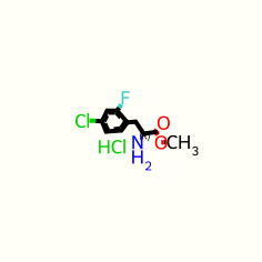 COC(=O)[C@H](N)Cc1ccc(Cl)cc1F.Cl